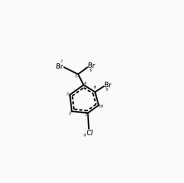 Clc1ccc(C(Br)Br)c(Br)c1